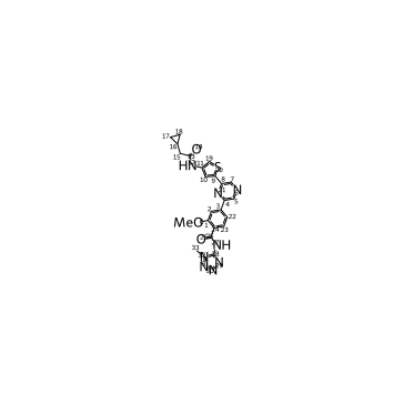 COc1cc(-c2cncc(-c3cc(NC(=O)CC4CC4)cs3)n2)ccc1C(=O)Nc1nnnn1C